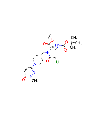 COC(=O)[C@@H](CNC(=O)OC(C)(C)C)N(CC1CCN(c2ccc(=O)n(C)n2)CC1)C(=O)CCl